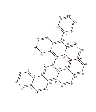 C1=Cc2c(c(-c3nc4c5ccccc5ccc4c4ccc5ccccc5c34)c3ccccc3c2-c2ccncc2)CC1